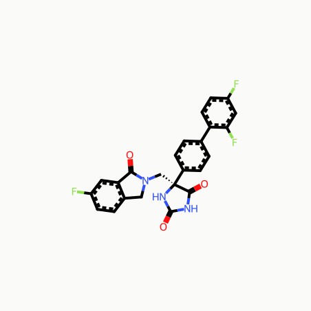 O=C1NC(=O)[C@](CN2Cc3ccc(F)cc3C2=O)(c2ccc(-c3ccc(F)cc3F)cc2)N1